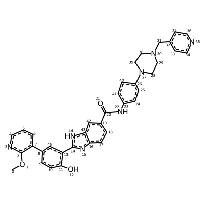 COc1ncccc1-c1ccc(O)c(-c2nc3ccc(C(=O)Nc4ccc(N5CCN(Cc6ccncc6)CC5)cc4)cc3[nH]2)c1